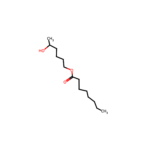 CCCCCCCC(=O)OCCCCC(C)O